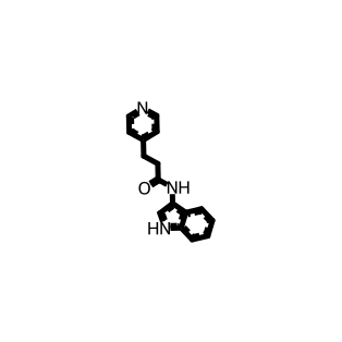 O=C(CCc1ccncc1)Nc1c[nH]c2ccccc12